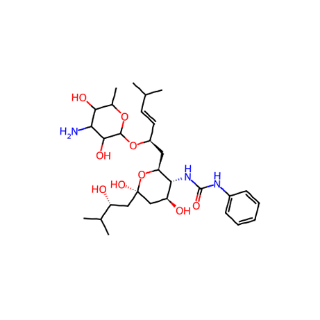 CC(C)/C=C/[C@@H](C[C@@H]1O[C@](O)(C[C@@H](O)C(C)C)C[C@H](O)[C@H]1NC(=O)Nc1ccccc1)OC1OC(C)C(O)C(N)C1O